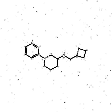 c1cnnc(N2CCCC(NCC3CCC3)C2)c1